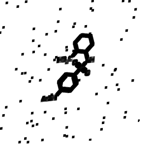 CC(=O)Nc1ccc(S(=O)(=O)NC2CCCCC2C(=O)O)cc1